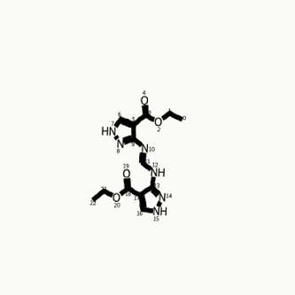 CCOC(=O)c1c[nH]nc1/N=C/Nc1n[nH]cc1C(=O)OCC